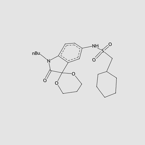 CCCCN1C(=O)C2(OCCCO2)c2cc(NS(=O)(=O)CC3CCCCC3)ccc21